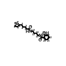 O=C(CCCCC1CCSS1)NCCCCNC(=O)c1ccccc1O